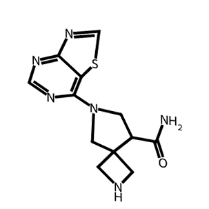 NC(=O)C1CN(c2ncnc3ncsc23)CC12CNC2